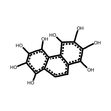 Oc1c(O)c(O)c2c(ccc3c(O)c(O)c(O)c(O)c32)c1O